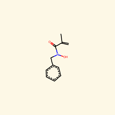 C=C(C)C(=O)N(O)Cc1ccccc1